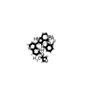 COc1c(F)cccc1Nc1c(-c2ccnc3ccc(OC4(C)COC4)nc23)[nH]c2c1C(=O)NCC2